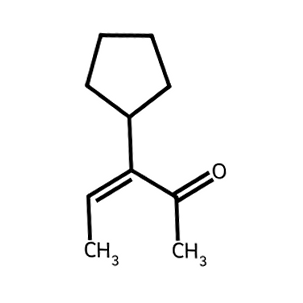 C/C=C(\C(C)=O)C1CCCC1